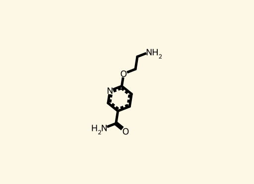 NCCOc1ccc(C(N)=O)cn1